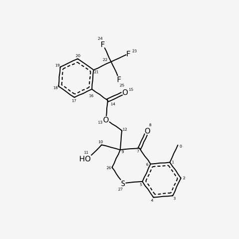 Cc1cccc2c1C(=O)C(CO)(COC(=O)c1ccccc1C(F)(F)F)CS2